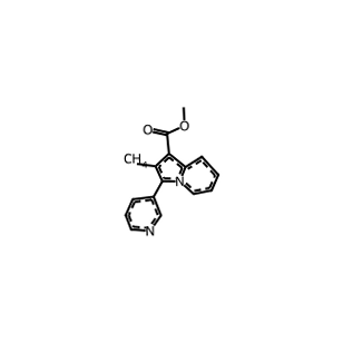 C.COC(=O)c1c(C)c(-c2cccnc2)n2ccccc12